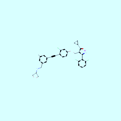 O=C(O)c1cc(C#Cc2ccc(OCc3c(-c4c(Cl)cccc4Cl)noc3C3CC3)cc2Cl)cc(CNC2COC2)c1